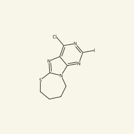 Clc1nc(I)nc2c1nc1n2CCCCS1